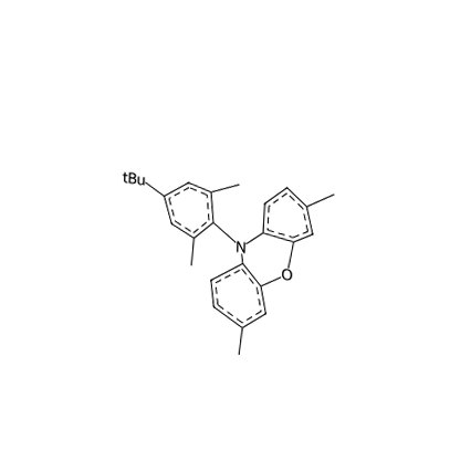 Cc1ccc2c(c1)Oc1cc(C)ccc1N2c1c(C)cc(C(C)(C)C)cc1C